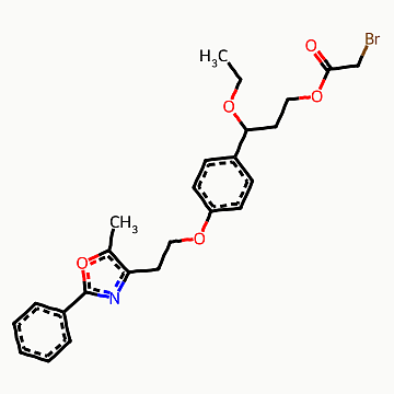 CCOC(CCOC(=O)CBr)c1ccc(OCCc2nc(-c3ccccc3)oc2C)cc1